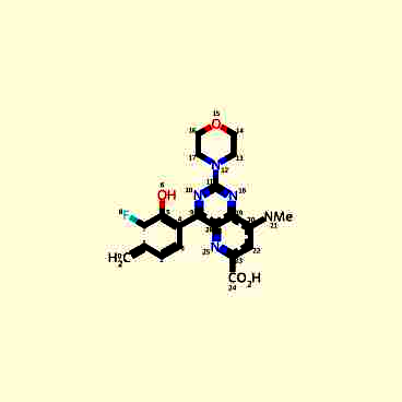 C=C/C=C\C(=C(\O)CF)c1nc(N2CCOCC2)nc2c(NC)cc(C(=O)O)nc12